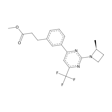 COC(=O)CCc1cccc(-c2cc(C(F)(F)F)nc(N3CC[C@@H]3C)n2)c1